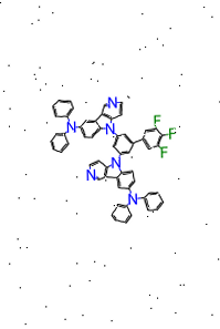 Fc1cc(-c2cc(-n3c4ccncc4c4cc(N(c5ccccc5)c5ccccc5)ccc43)cc(-n3c4ccncc4c4cc(N(c5ccccc5)c5ccccc5)ccc43)c2)cc(F)c1F